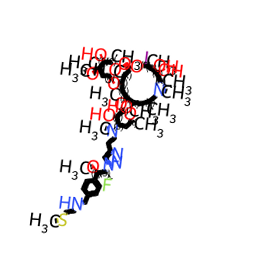 CO[C@H](c1ccc(CNCCSC)cc1)[C@@H](CF)n1cc(CCN(C)[C@H]2C[C@@H](C)O[C@@H](O[C@@H]3[C@@H](C)[C@H](O[C@H]4C[C@@](C)(OC)[C@@H](O)[C@H](C)O4)[C@@H](C)C(=O)O[C@H](I)[C@@](C)(O)[C@H](O)[C@@H](C)N(C)C[C@H](C)C[C@@]3(C)O)[C@@H]2O)nn1